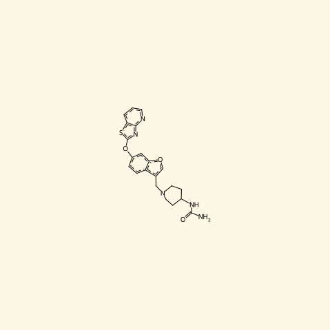 NC(=O)NC1CCN(Cc2coc3cc(Oc4nc5ncccc5s4)ccc23)CC1